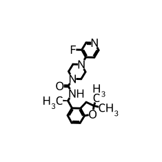 C[C@@H](NC(=O)N1CCN(c2ccncc2F)CC1)c1cccc2c1CC(C)(C)O2